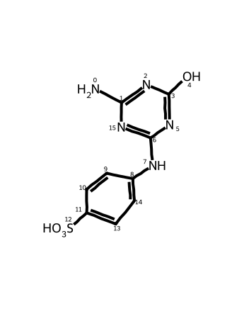 Nc1nc(O)nc(Nc2ccc(S(=O)(=O)O)cc2)n1